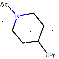 CC[CH]C1CCN(C(C)=O)CC1